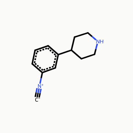 [C-]#[N+]c1cccc(C2CCNCC2)c1